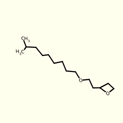 CC(C)CCCCCCCOCC[C]1CCO1